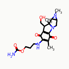 CC1=C(NCCCOC(N)=O)C(=O)C2=C(C1=O)N1CC3C(N3C)C1(C)C2CO